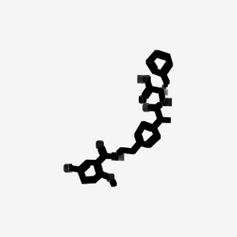 COc1ccc(Cl)cc1C(=O)NCCc1ccc(C(C)C(=O)N[C@@H](Cc2ccccc2)C(=O)O)cc1